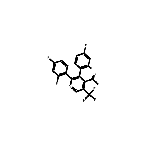 CC(=O)c1c(C(F)(F)F)cnc(-c2ccc(F)cc2F)c1-c1ccc(F)cc1F